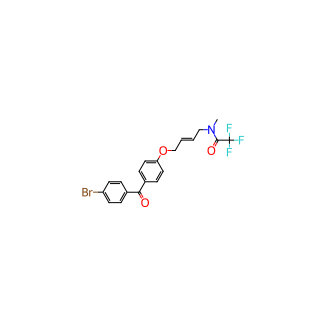 CN(CC=CCOc1ccc(C(=O)c2ccc(Br)cc2)cc1)C(=O)C(F)(F)F